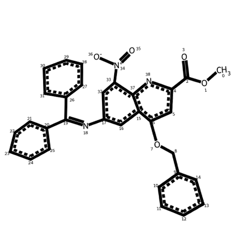 COC(=O)c1cc(OCc2ccccc2)c2cc(N=C(c3ccccc3)c3ccccc3)cc([N+](=O)[O-])c2n1